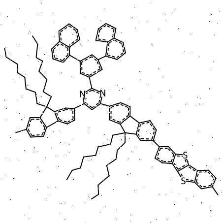 CCCCCCCCC1(CCCCCCCC)c2cc(C)ccc2-c2ccc(-c3cc(-c4ccc5c(c4)C(CCCCCCCC)(CCCCCCCC)c4cc(-c6ccc7c(c6)sc6c8ccc(C)cc8sc76)ccc4-5)nc(-c4cc(-c5cccc6ccccc56)cc(-c5cccc6ccccc56)c4)n3)cc21